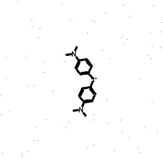 CN(C)c1ccc([I+]c2ccc(N(C)C)cc2)cc1